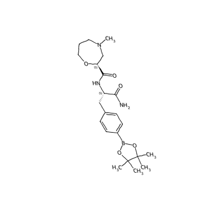 CN1CCCO[C@H](C(=O)N[C@@H](Cc2ccc(B3OC(C)(C)C(C)(C)O3)cc2)C(N)=O)C1